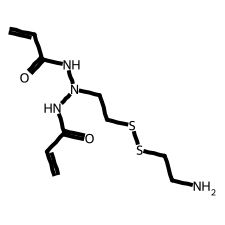 C=CC(=O)NN(CCSSCCN)NC(=O)C=C